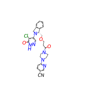 N#Cc1ccc(N2CCN(C(=O)CCOC[C@H]3c4ccccc4CN3c3cn[nH]c(=O)c3Cl)CC2)nc1